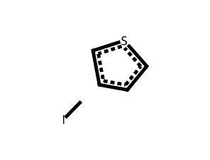 CI.c1ccsc1